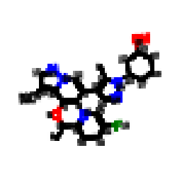 Cc1c(-c2cc(O[C@H](C)c3ccc(F)cn3)c3c(C#N)cnn3c2)cnn1[C@H]1CCC[C@H](O)C1